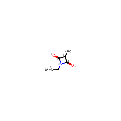 CNCN1C(=O)C(C(C)=O)C1=O